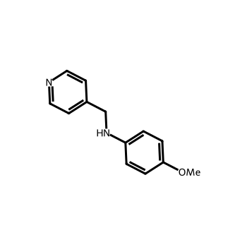 COc1ccc(NCc2ccncc2)cc1